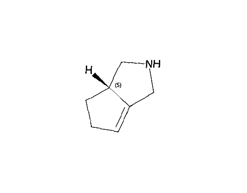 C1=C2CNC[C@H]2CC1